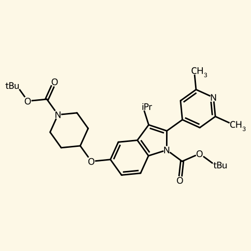 Cc1cc(-c2c(C(C)C)c3cc(OC4CCN(C(=O)OC(C)(C)C)CC4)ccc3n2C(=O)OC(C)(C)C)cc(C)n1